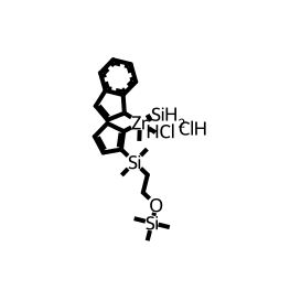 C[Si](C)(C)OCC[Si](C)(C)C1=[C]([Zr]([CH3])([CH3])(=[SiH2])[CH]2C=Cc3ccccc32)CC=C1.Cl.Cl